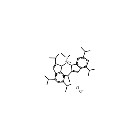 CC(C)C1=Cc2c(C(C)C)cc(C(C)C)cc2[CH]1[Zr+2]([CH]1C(C(C)C)=Cc2c(C(C)C)cc(C(C)C)cc21)=[Si](C)C.[Cl-].[Cl-]